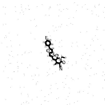 CCN1C(=O)C(C#N)=C(C)/C(=C/c2cc3oc(-c4ccc(F)cc4)cc3s2)C1=O